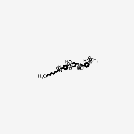 CCCCCCCCc1nc(-c2ccc(S(=O)(=O)N3CCC(CNCC(O)c4cccc(NS(C)(=O)=O)c4)CC3O)cc2)no1